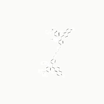 CN(C)c1ccc2c(-c3ccc(CSCCSCc4ccc(-c5c6ccc(N(C)C)cc6oc6c5ccc5cc(=O)ccc56)c(C(=O)O)c4)cc3OC=O)c3ccc4cc(=O)ccc4c3oc2c1